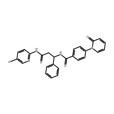 O=C(CC(NC(=O)c1ccc(-n2ccccc2=O)cc1)c1ccccc1)Nc1ccc(Cl)cn1